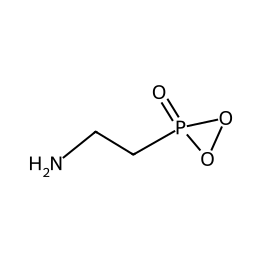 NCCP1(=O)OO1